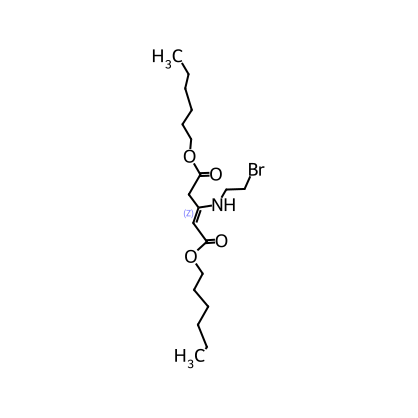 CCCCCCOC(=O)/C=C(/CC(=O)OCCCCCC)NCCBr